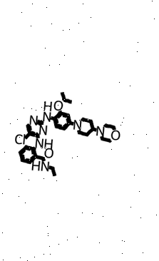 CCNC(=O)c1ccccc1Nc1nc(Nc2ccc(N3CCC(N4CCOCC4)CC3)cc2OC(C)C)ncc1Cl